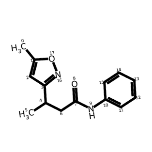 Cc1cc(C(C)CC(=O)Nc2ccccc2)no1